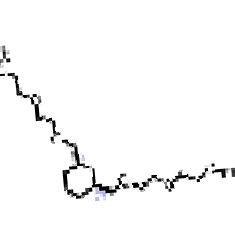 CCOCCOCCO/C=C1/CCC/C(=C\OCCOCCOCC)C1